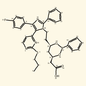 CCCSc1nccc(-c2c(-c3ccc(F)cc3)nc(-c3ccccc3)n2CC[C@@H]2C[C@H](CC(=O)O)OB(c3ccccc3)O2)n1